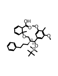 COc1cc([C@@H](O[Si](C)(C)C(C)(C)C)[C@@H](CCCc2ccccc2)COC2(C)C=CC=CC2C(=O)O)cc(OC)c1C